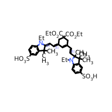 CCOC(=O)C1(C(=O)OCC)CC(/C=C/C2(C)N(CC)c3ccc(S(=O)(=O)O)cc3C2(C)C)=CC(=C/C=C2/N(CC)c3ccc(S(=O)(=O)O)cc3C2(C)C)/C1